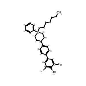 CCCCCCC[Si]1(c2ccccc2)CCC(c2ccc(-c3cc(F)c(O)c(F)c3)cc2)CC1